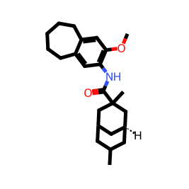 COc1cc2c(cc1NC(=O)C1(C)CC3CC(C)C[C@@H](C3)C1)CCCCC2